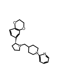 c1ccc(N2CCC(CN3CCC[C@H]3c3ccc4c(c3)OCCO4)CC2)nc1